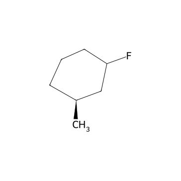 C[C@H]1CCCC(F)C1